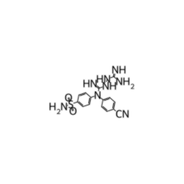 N#Cc1ccc(N(C(=N)NNC(=N)N)c2ccc(S(N)(=O)=O)cc2)cc1